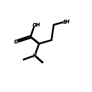 CN(C)C(CCS)C(=O)O